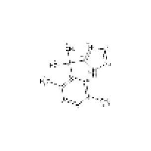 Cc1ccc(C)c(C(C)(O)c2ncc[nH]2)c1